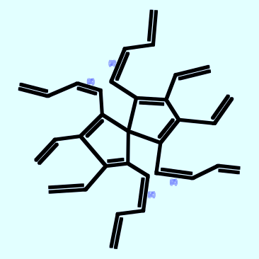 C=C/C=C\C1=C(C=C)C(C=C)=C(/C=C\C=C)C12C(/C=C\C=C)=C(C=C)C(C=C)=C2/C=C\C=C